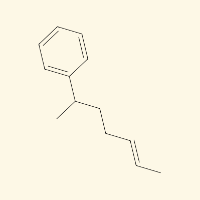 CC=CCCC(C)c1ccccc1